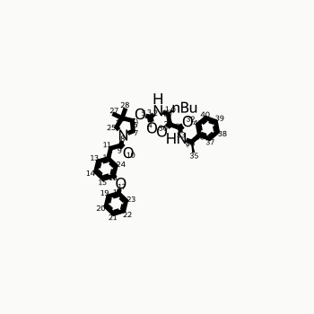 CCCC[C@H](NC(=O)O[C@@H]1CN(C(=O)Cc2cccc(Oc3ccccc3)c2)CC1(C)C)C(=O)C(=O)N[C@H](C)c1ccccc1